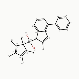 CC1=Cc2c(-c3ccccc3)cccc2[CH]1[Zr]([Br])([Br])[C]1(C)C(C)=C(C)C(C)=C1C